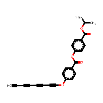 C#CC#CC#CC#COc1ccc(C(=O)Oc2ccc(C(=O)OC(C)CCCCCC)cc2)cc1